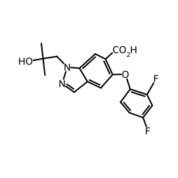 CC(C)(O)Cn1ncc2cc(Oc3ccc(F)cc3F)c(C(=O)O)cc21